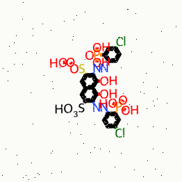 O=P(O)(O)c1cc(Cl)ccc1N=Nc1c(SOOO)cc2cc(S(=O)(=O)O)c(N=Nc3ccc(Cl)cc3P(=O)(O)O)c(O)c2c1O